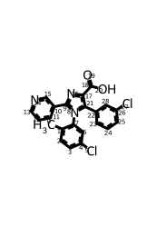 Cc1ccc(Cl)cc1-n1c(-c2cccnc2)nc(C(=O)O)c1-c1cccc(Cl)c1